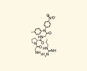 Cc1ccc(N(C(=O)[C@H](CCCNC(=N)N)NC(=O)[C@@H]2CCCN2C(=O)CN)c2ccc([N+](=O)[O-])cc2)cc1